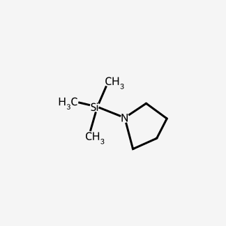 C[Si](C)(C)N1CCCC1